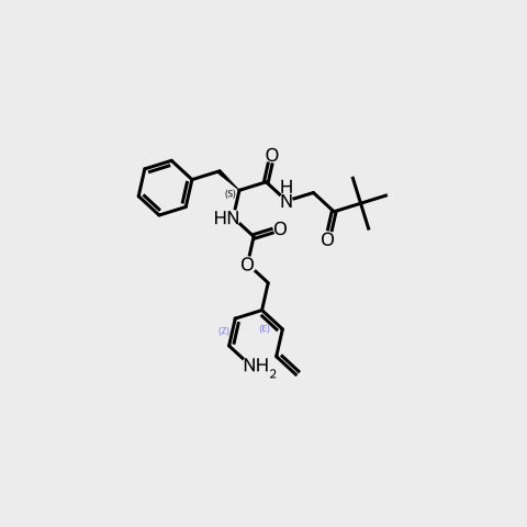 C=C/C=C(\C=C/N)COC(=O)N[C@@H](Cc1ccccc1)C(=O)NCC(=O)C(C)(C)C